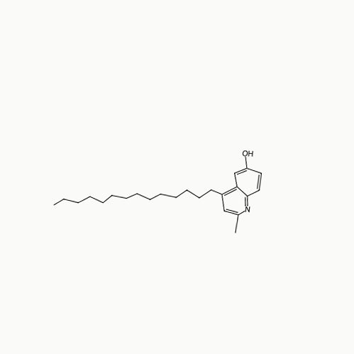 CCCCCCCCCCCCCCc1cc(C)nc2ccc(O)cc12